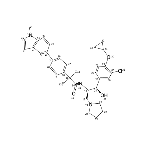 Cn1ncc2cc(-c3ccc(C(F)(F)C(=O)N[C@H](CN4CCCC4)[C@H](O)c4ccc(OC5CC5)c(Cl)c4)cc3)ccc21